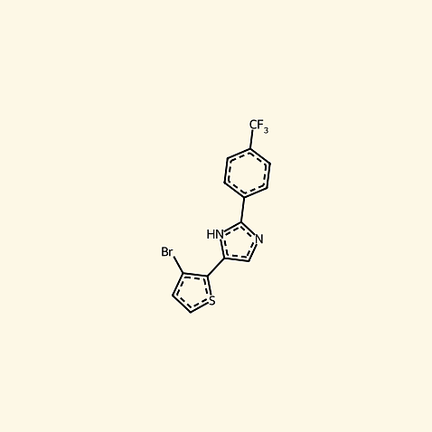 FC(F)(F)c1ccc(-c2ncc(-c3sccc3Br)[nH]2)cc1